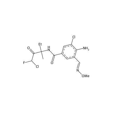 CCC(C)(NC(=O)c1cc(Cl)c(N)c(C=NOC)c1)C(=O)C(F)Cl